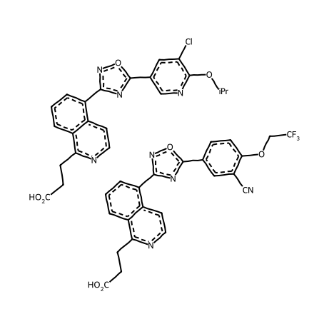 CC(C)Oc1ncc(-c2nc(-c3cccc4c(CCC(=O)O)nccc34)no2)cc1Cl.N#Cc1cc(-c2nc(-c3cccc4c(CCC(=O)O)nccc34)no2)ccc1OCC(F)(F)F